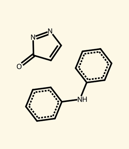 O=C1C=CN=N1.c1ccc(Nc2ccccc2)cc1